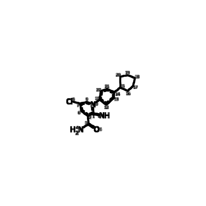 N=c1c(C(N)=O)cc(Cl)cn1-c1ccc(C2CCCCC2)cc1